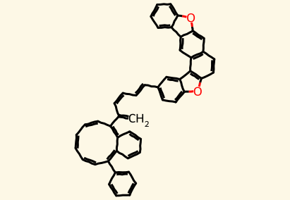 C=C(/C=C\C=C\c1ccc2oc3ccc4cc5oc6ccccc6c5cc4c3c2c1)c1ccccccc(-c2ccccc2)c2ccccc12